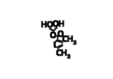 Cc1ccc(C(=O)OC(CO)CO)c(C)c1